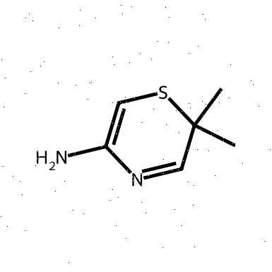 CC1(C)C=NC(N)=CS1